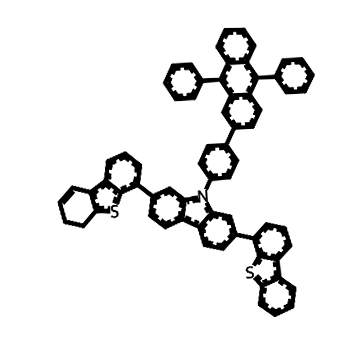 C1=Cc2c(sc3c(-c4ccc5c6ccc(-c7cccc8c7sc7ccccc78)cc6n(-c6ccc(-c7ccc8c(-c9ccccc9)c9ccccc9c(-c9ccccc9)c8c7)cc6)c5c4)cccc23)CC1